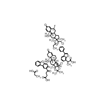 CC(C(=O)O)c1cccc2c(-c3ccccc3)coc12.CC1(C)O[C@@H]2C[C@H]3[C@@H]4CCC5=CC(=O)CC[C@]5(C)[C@@]4(F)[C@@H](O)C[C@]3(C)[C@]2(C(=O)CCl)O1.CCC(=O)O.CCC(=O)O[C@]1(C(=O)CCl)[C@@H](C)CC2C3C[C@H](F)C4=CC(=O)C=CC4(C)[C@@]3(F)C(O)CC21C.O=C(O)CCC(=O)c1ccc2oc3ccccc3c2c1